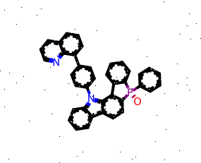 O=P1(c2ccccc2)c2ccccc2-c2c1ccc1c3ccccc3n(-c3ccc(-c4cccc5cccnc45)cc3)c21